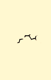 COCCOC(=O)C(C)CC(C)C